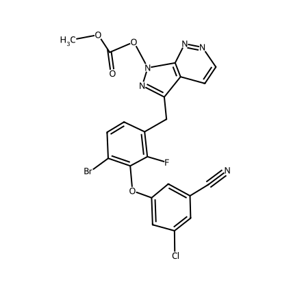 COC(=O)On1nc(Cc2ccc(Br)c(Oc3cc(Cl)cc(C#N)c3)c2F)c2ccnnc21